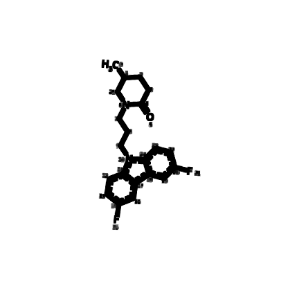 CC1CCC(=O)N(CCCn2c3ccc(F)cc3c3cc(F)ccc32)C1